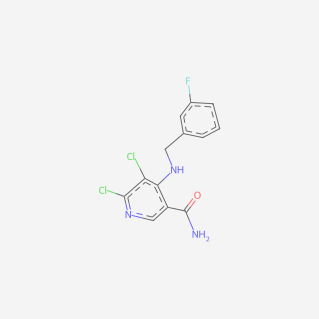 NC(=O)c1cnc(Cl)c(Cl)c1NCc1cccc(F)c1